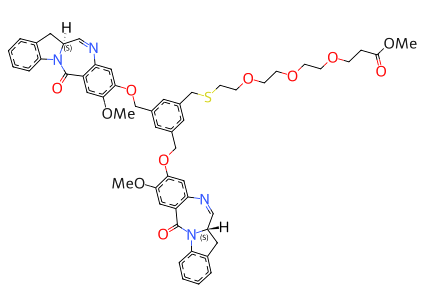 COC(=O)CCOCCOCCOCCSCc1cc(COc2cc3c(cc2OC)C(=O)N2c4ccccc4C[C@H]2C=N3)cc(COc2cc3c(cc2OC)C(=O)N2c4ccccc4C[C@H]2C=N3)c1